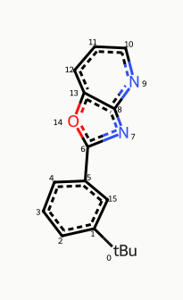 CC(C)(C)c1cccc(-c2nc3ncccc3o2)c1